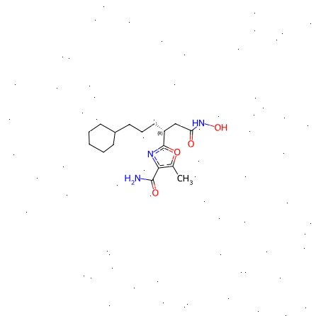 Cc1oc([C@H](CCCC2CCCCC2)CC(=O)NO)nc1C(N)=O